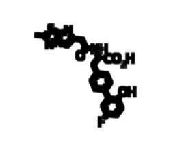 Cc1nn2cc(CC(=O)N[C@H](Cc3ccc(-c4cc(F)ccc4O)cc3)C(=O)O)nc2s1